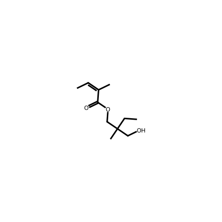 CC=C(C)C(=O)OCC(C)(CC)CO